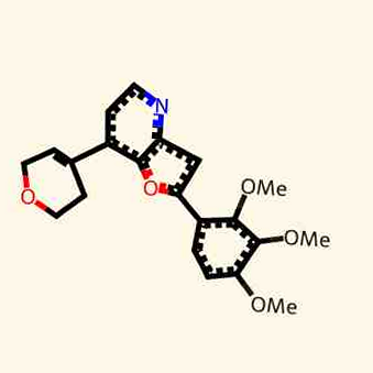 COc1ccc(-c2cc3nccc(C4=CCOCC4)c3o2)c(OC)c1OC